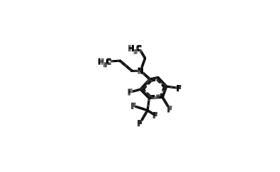 CCCN(CC)c1cc(F)c(F)c(C(F)(F)F)c1F